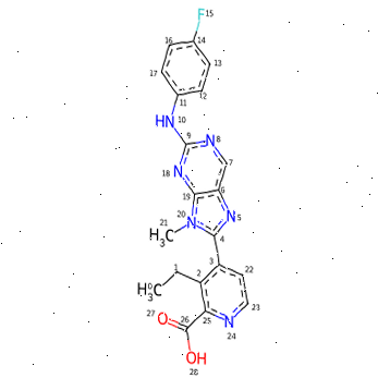 CCc1c(-c2nc3cnc(Nc4ccc(F)cc4)nc3n2C)ccnc1C(=O)O